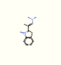 C/C(=C\N(C)C)C1=[N+](C)c2ccccc2C1